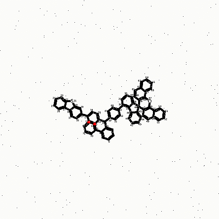 c1ccc(-c2ccccc2C(c2ccc(-c3ccc4c(c3)sc3ccccc34)cc2)c2ccc(-c3cccc4c3-c3ccccc3C43c4ccc5ccccc5c4Oc4c3ccc3ccccc43)cc2)cc1